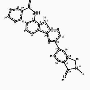 C=C(Nc1cccc2c1[nH]c1ccc(-c3ccc4c(c3)CN(C)C4=O)cc12)c1ccccc1